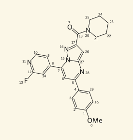 COc1ccc(-c2cc(-c3ccnc(F)c3)n3nc(C(=O)N4CCCCC4)cc3n2)cc1